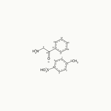 Cc1ccc(S(=O)(=O)O)cc1.NCC(=O)c1ccccc1